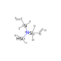 C=C[Si](C)(C)N([SiH](C)C)[Si](C)(C)C=C